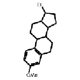 CCC1CCC2C1CCC1c3ccc(OC)cc3CCC12